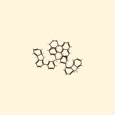 c1cc(-c2cccc3c2sc2ccccc23)cc(N(c2cccc(-c3cccc4oc5ccccc5c34)c2)c2ccccc2-c2cccc3cccc(C4CCCCC4)c23)c1